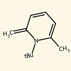 C=C1C=CC=C(C)N1C(C)(C)C